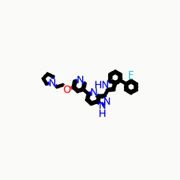 Fc1ccccc1-c1cccc2[nH]c(-c3n[nH]c4ccc(-c5cncc(OCCN6CCCC6)c5)nc34)cc12